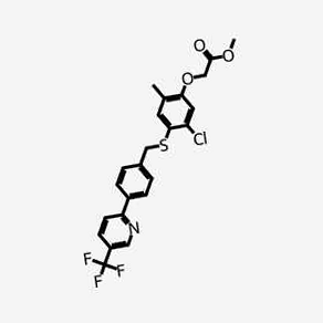 COC(=O)COc1cc(Cl)c(SCc2ccc(-c3ccc(C(F)(F)F)cn3)cc2)cc1C